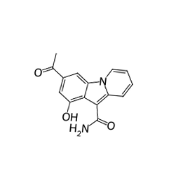 CC(=O)c1cc(O)c2c(C(N)=O)c3ccccn3c2c1